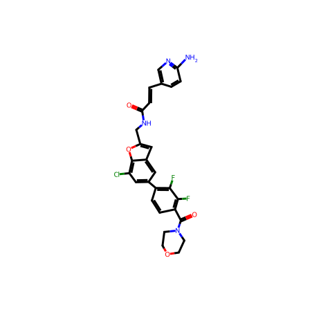 Nc1ccc(/C=C/C(=O)NCc2cc3cc(-c4ccc(C(=O)N5CCOCC5)c(F)c4F)cc(Cl)c3o2)cn1